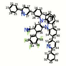 N#Cc1cc(-n2c3ccccc3c3ccc(-c4ccc(-c5ccccc5)nc4)cc32)c(-n2c3ccccc3c3ccc(-c4ccc(-c5ccccc5)nc4)cc32)cc1-c1c(F)c(F)c(F)c(F)c1F